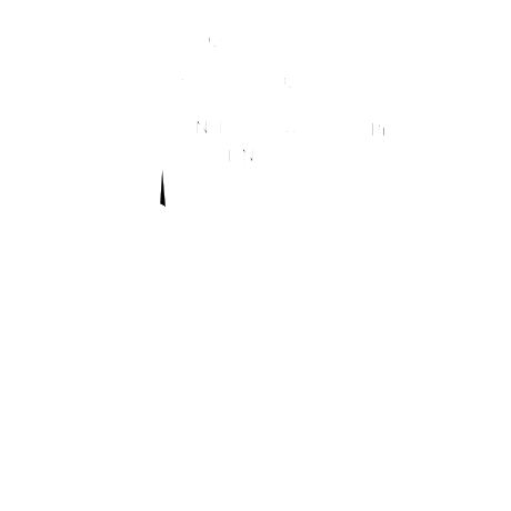 CC(C)(C)c1ccc(/C(=C/[C@H]2CCC(=O)N2)c2ccc(Br)c(=O)[nH]2)cc1